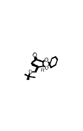 CC(C)(C)OCC1=CC(=O)C2OC3(CCCCC3)O[C@@H]12